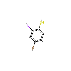 Sc1ccc(Br)cc1I